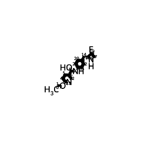 CCOc1ccc(C(O)Nc2ccc(C[C@@H]3NC[C@@H]3F)cc2)cn1